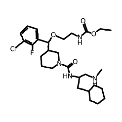 CCOC(=O)NCCOC(c1cccc(Cl)c1F)C1CCCN(C(=O)NC(CNC)CC2CCCCC2)C1